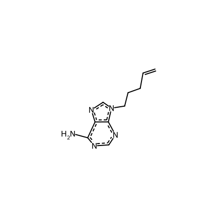 C=CCCCn1cnc2c(N)ncnc21